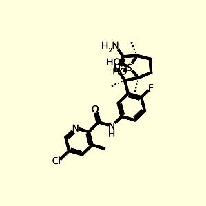 Cc1cc(Cl)cnc1C(=O)Nc1ccc(F)c([C@@]2(C)N=C(N)[C@@]3(C)CC[C@]2(C)S3(O)O)c1